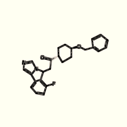 O=C(CC1c2c(F)cccc2-c2cncn21)[C@H]1CC[C@H](OCc2ccccc2)CC1